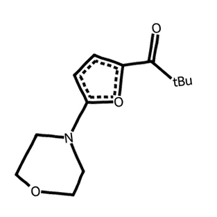 CC(C)(C)C(=O)c1ccc(N2CCOCC2)o1